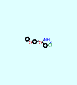 NC[C@H](OCc1ccc(Oc2ccccc2)cc1)c1cccc(Cl)c1